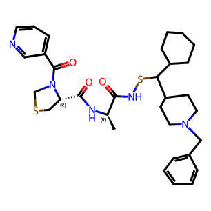 C[C@@H](NC(=O)[C@@H]1CSCN1C(=O)c1cccnc1)C(=O)NSC(C1CCCCC1)C1CCN(Cc2ccccc2)CC1